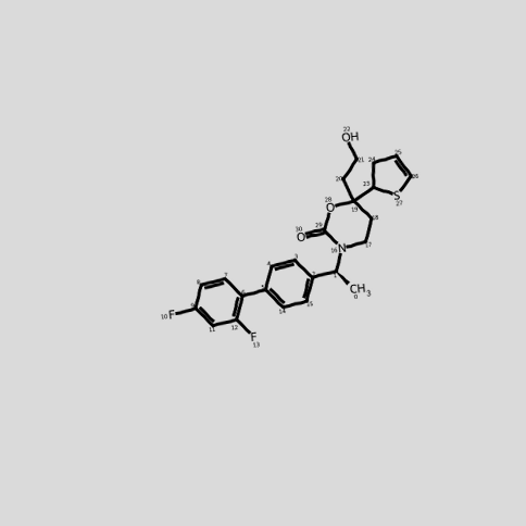 C[C@@H](c1ccc(-c2ccc(F)cc2F)cc1)N1CCC(CCO)(C2CC=CS2)OC1=O